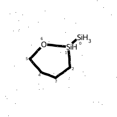 [SiH3][SiH]1CCCCO1